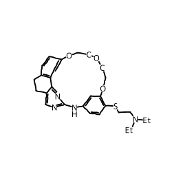 CCN(CC)CCSc1ccc2cc1OCCOCCOc1ccc3c(c1)-c1nc(ncc1CC3)N2